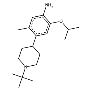 Cc1cc(N)c(OC(C)C)cc1C1CCN(C(C)(C)C)CC1